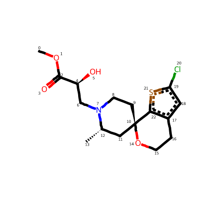 COC(=O)[C@@H](O)CN1CC[C@]2(C[C@@H]1C)OCCc1cc(Cl)sc12